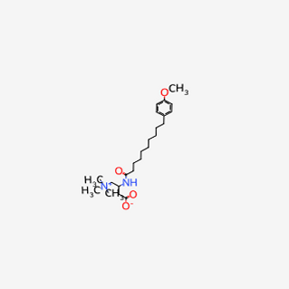 COc1ccc(CCCCCCCCCC(=O)NC(CC(=O)[O-])C[N+](C)(C)C)cc1